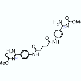 COC(=O)/N=C(\N)c1ccc(NC(=O)CCCC(=O)Nc2ccc(/C(N)=N/C(=O)OC)cc2)cc1